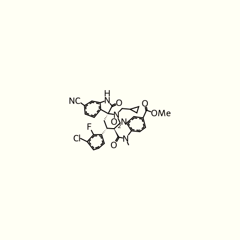 COC(=O)c1ccc(N(C)C(=O)[C@@H]2CN(CC3CC3)[C@]3(C[C@H]2c2cccc(Cl)c2F)C(=O)Nc2cc(C#N)ccc23)c([N+](=O)[O-])c1